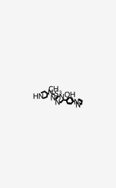 CN(c1nc2ncc(-c3ccc(-n4cccn4)cc3O)nc2s1)C1CCNCC1